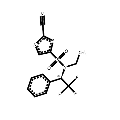 CCN([C@H](c1ccccc1)C(F)(F)F)S(=O)(=O)c1cnc(C#N)s1